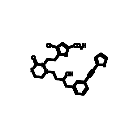 O=C(O)c1cc(Cl)c(CCN2C(=O)SCCN2CCC(O)Cc2cccc(C#Cc3cccs3)c2)s1